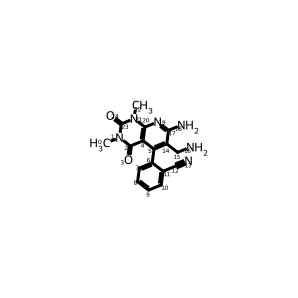 Cn1c(=O)c2c(-c3ccccc3C#N)c(CN)c(N)nc2n(C)c1=O